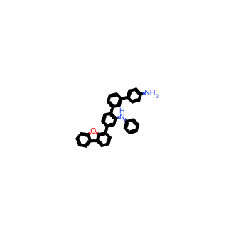 Nc1ccc(-c2cccc(-c3ccc(-c4cccc5c4oc4ccccc45)cc3Nc3ccccc3)c2)cc1